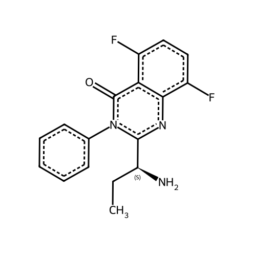 CC[C@H](N)c1nc2c(F)ccc(F)c2c(=O)n1-c1ccccc1